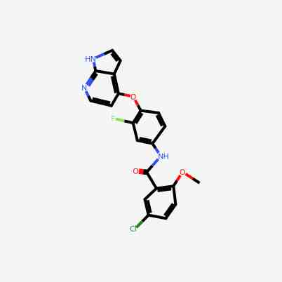 COc1ccc(Cl)cc1C(=O)Nc1ccc(Oc2ccnc3[nH]ccc23)c(F)c1